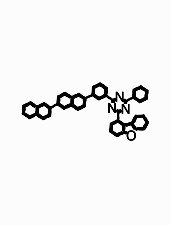 c1ccc(-c2nc(-c3cccc(-c4ccc5cc(-c6ccc7ccccc7c6)ccc5c4)c3)nc(-c3cccc4oc5ccccc5c34)n2)cc1